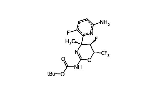 CC(C)(C)OC(=O)NC1=N[C@](C)(c2nc(N)ccc2F)[C@@H](F)[C@H](C(F)(F)F)O1